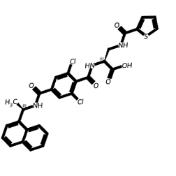 C[C@@H](NC(=O)c1cc(Cl)c(C(=O)N[C@@H](CNC(=O)c2cccs2)C(=O)O)c(Cl)c1)c1cccc2ccccc12